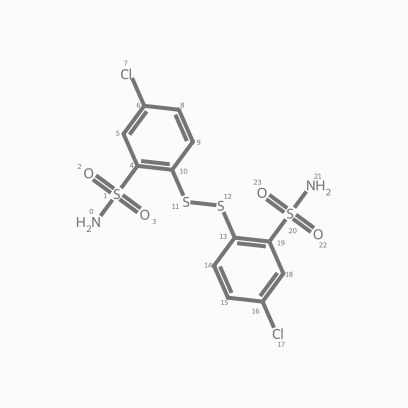 NS(=O)(=O)c1cc(Cl)ccc1SSc1ccc(Cl)cc1S(N)(=O)=O